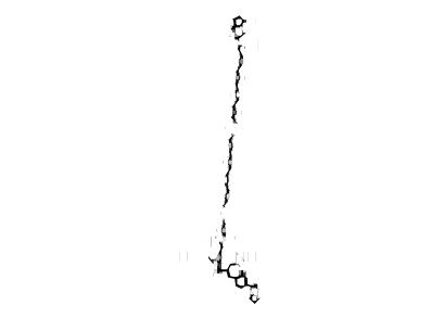 CCCN(OCCNC(=O)OCCOCCOCCOCCOCCOCCOCCOCCOCCOCCOCCNC(=O)CN1C(=O)C=CC1=O)C(=O)C1=Cc2ccc(C(=O)N3CCC3)cc2N=C(N)C1